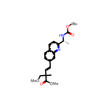 COCC(C)(/C=C/c1ccc2ccc([C@@H](C)NC(=O)OC(C)(C)C)nc2c1)C(=O)OC